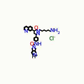 NCCCCCCN1N=C(c2ccc(NC(=O)N3Cc4ccncc4C3)cc2)CC(c2ccc3cccnc3c2)C1=O.[Cl-].[H+]